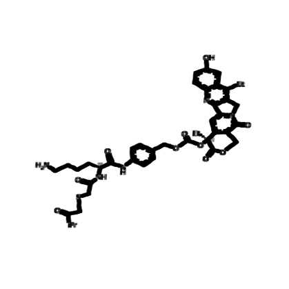 CCc1c2c(nc3ccc(O)cc13)-c1cc3c(c(=O)n1C2)COC(=O)[C@@]3(CC)OC(=O)OCc1ccc(NC(=O)[C@H](CCCCN)NC(=O)CSCC(=O)C(C)C)cc1